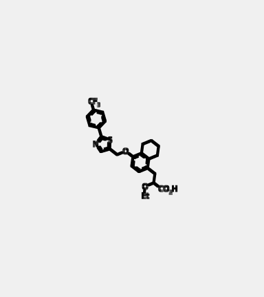 CCOC(Cc1ccc(OCc2cnc(-c3ccc(C(F)(F)F)cc3)s2)c2c1CCCC2)C(=O)O